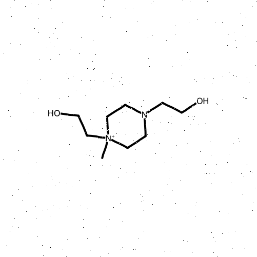 C[N+]1(CCO)CCN(CCO)CC1